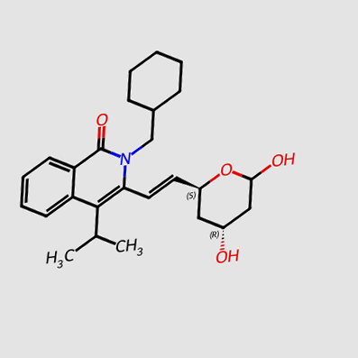 CC(C)c1c(C=C[C@@H]2C[C@@H](O)CC(O)O2)n(CC2CCCCC2)c(=O)c2ccccc12